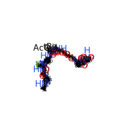 CC(=O)O[C@@H]1C[C@@H](C(=O)NCc2ccc(-n3cc(NC(=O)c4coc(-c5ccnc(NCC6CC6)c5)n4)c(C(F)F)n3)cc2)N(C(=O)C(NC(=O)COCCOCCOCCNc2cccc3c2C(=O)N(C2CCC(=O)NC2=O)C3=O)C(C)(C)C)C1